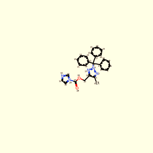 CCc1nn(C(c2ccccc2)(c2ccccc2)c2ccccc2)nc1COC(=O)n1ccnc1